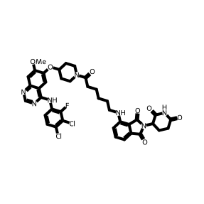 COc1cc2ncnc(Nc3ccc(Cl)c(Cl)c3F)c2cc1OC1CCN(C(=O)CCCCCNc2cccc3c2C(=O)N(C2CCC(=O)NC2=O)C3=O)CC1